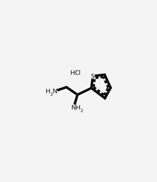 Cl.NCC(N)c1cccs1